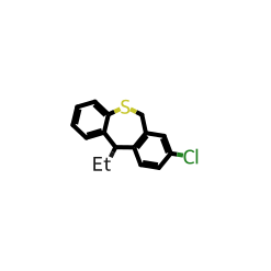 CCC1c2ccc(Cl)cc2CSc2ccccc21